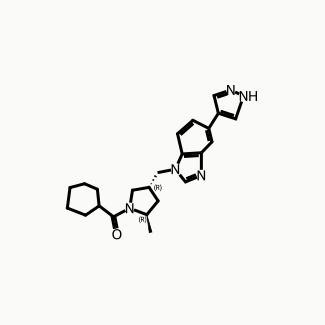 C[C@@H]1C[C@@H](Cn2cnc3cc(-c4cn[nH]c4)ccc32)CN1C(=O)C1CCCCC1